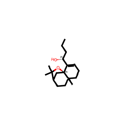 CCC[C@@H](O)C1=CCCC2(C)CCC3C[C@]12OC3(C)C